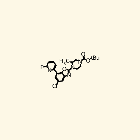 C[C@H]1CN(C(=O)OC(C)(C)C)CCN1c1nc2cc(Cl)cc(-c3cccc(F)n3)c2o1